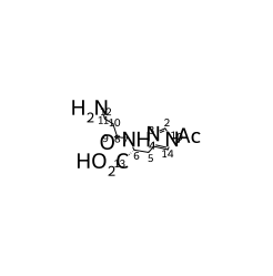 CC(=O)n1cnc(C[C@@H](NC(=O)CCN)C(=O)O)c1